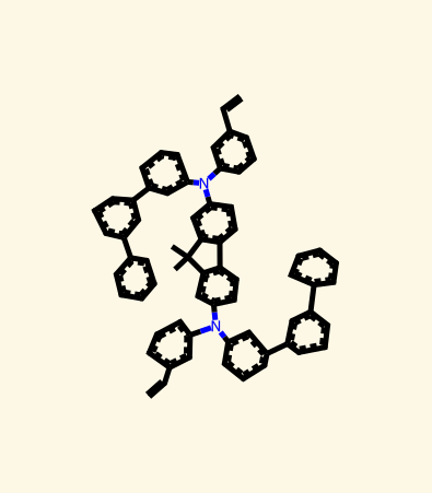 C=Cc1cccc(N(c2cccc(-c3cccc(-c4ccccc4)c3)c2)c2ccc3c(c2)C(C)(C)c2cc(N(c4cccc(C=C)c4)c4cccc(-c5cccc(-c6ccccc6)c5)c4)ccc2-3)c1